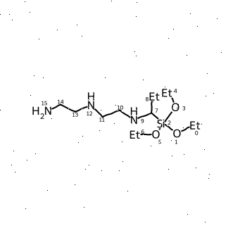 CCO[Si](OCC)(OCC)C(CC)NCCNCCN